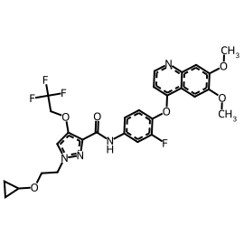 COc1cc2nccc(Oc3ccc(NC(=O)c4nn(CCOC5CC5)cc4OCC(F)(F)F)cc3F)c2cc1OC